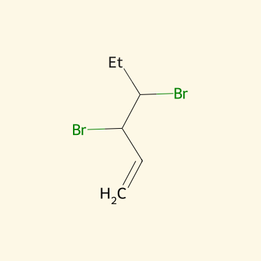 C=CC(Br)C(Br)CC